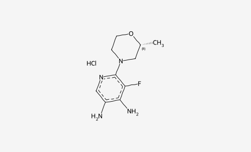 C[C@@H]1CN(c2ncc(N)c(N)c2F)CCO1.Cl